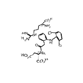 N=C(N)NCCC[C@H](N)C(=O)O.O=C(O)C[C@H](NC(=O)Cc1ccccc1Nc1c(Cl)cccc1Cl)C(=O)O